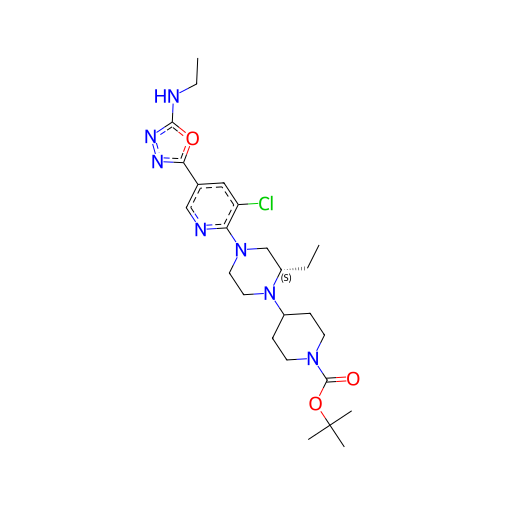 CCNc1nnc(-c2cnc(N3CCN(C4CCN(C(=O)OC(C)(C)C)CC4)[C@@H](CC)C3)c(Cl)c2)o1